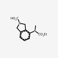 CCOC(=O)N(C)c1cccc2c1CN(C(=O)O)C2